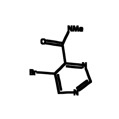 CNC(=O)c1ncncc1Br